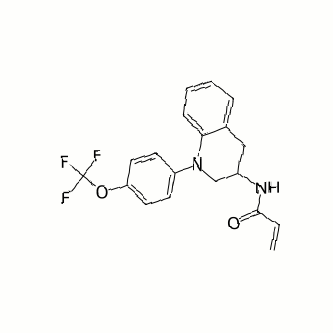 C=CC(=O)NC1Cc2ccccc2N(c2ccc(OC(F)(F)F)cc2)C1